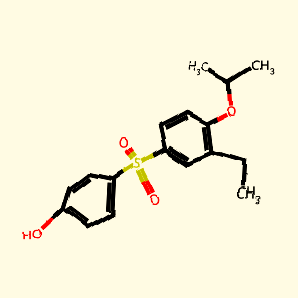 CCc1cc(S(=O)(=O)c2ccc(O)cc2)ccc1OC(C)C